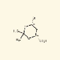 CC[C@@H]1C[C@H](C(=O)O)OC(C)(C)O1